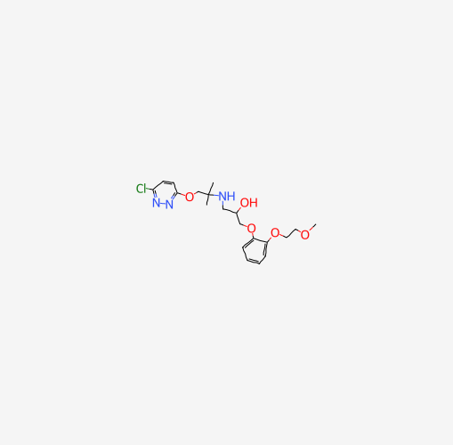 COCCOc1ccccc1OCC(O)CNC(C)(C)COc1ccc(Cl)nn1